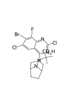 CC(C)(CN1C2CCC1CN(c1nc(Cl)nc3c(F)c(Br)c(Cl)cc13)C2)C(=O)O